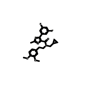 COc1ccc(CCN(CC2CC2)C(=O)c2nc(C)sc2-c2cc(F)cc(F)c2)cc1OC